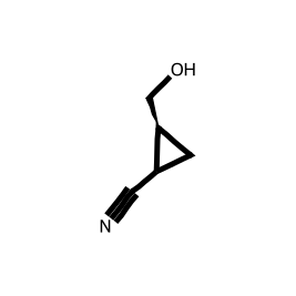 N#CC1C[C@@H]1CO